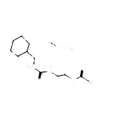 CC(=O)O.CC(C)C(=O)OCCOC(=O)NCC1CCCCC1